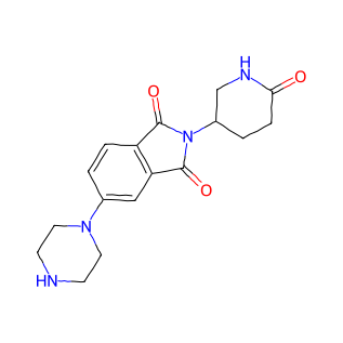 O=C1CCC(N2C(=O)c3ccc(N4CCNCC4)cc3C2=O)CN1